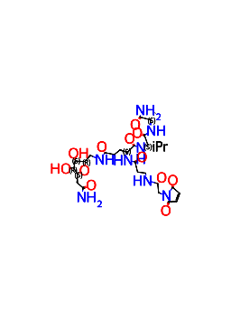 CC(C)[C@H](NC(=O)[C@H](CCC(=O)NC[C@H]1O[C@@H](CC(N)=O)[C@H](O)[C@@H]1O)NC(=O)CCNC(=O)CN1C(=O)C=CC1=O)C(=O)N[C@@H](C)C(N)=O